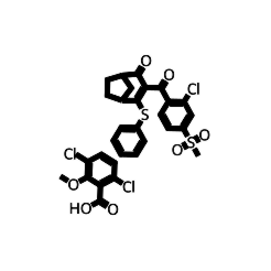 COc1c(Cl)ccc(Cl)c1C(=O)O.CS(=O)(=O)c1ccc(C(=O)C2=C(Sc3ccccc3)C3CCC(C3)C2=O)c(Cl)c1